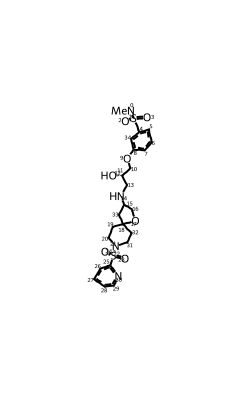 CNS(=O)(=O)c1cccc(OC[C@@H](O)CNC2COC3(CCN(S(=O)(=O)c4ccccn4)CC3)C2)c1